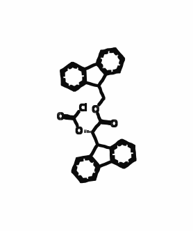 O=C(Cl)O[C@H](C(=O)OCC1c2ccccc2-c2ccccc21)C1c2ccccc2-c2ccccc21